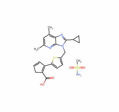 CS(N)(=O)=O.Cc1cc(C)c2nc(C3CC3)n(Cc3ccc(C4=C(C(=O)O)CC=C4)s3)c2n1